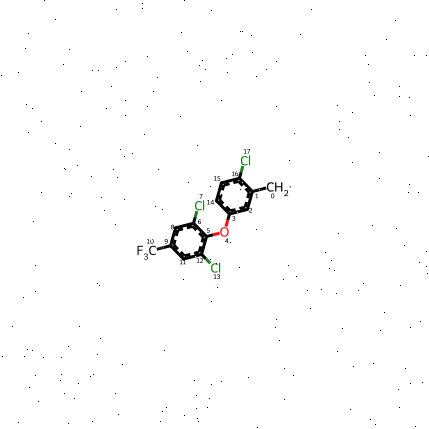 [CH2]c1cc(Oc2c(Cl)cc(C(F)(F)F)cc2Cl)ccc1Cl